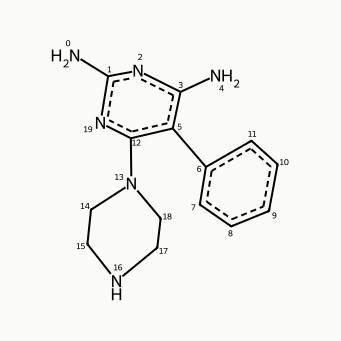 Nc1nc(N)c(-c2ccccc2)c(N2CCNCC2)n1